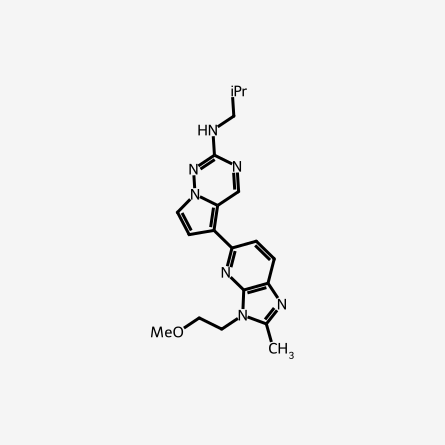 COCCn1c(C)nc2ccc(-c3ccn4nc(NCC(C)C)ncc34)nc21